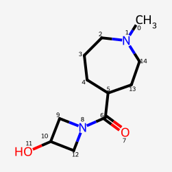 CN1CCCC(C(=O)N2CC(O)C2)CC1